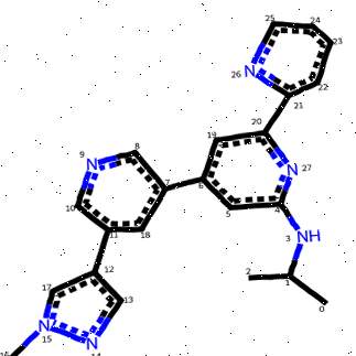 CC(C)Nc1cc(-c2cncc(-c3cnn(C)c3)c2)cc(-c2ccccn2)n1